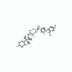 Cc1ccc(S(=O)(=O)NCC2CCC(Nc3nc(-c4nc(C)sc4C)cs3)CC2)cc1